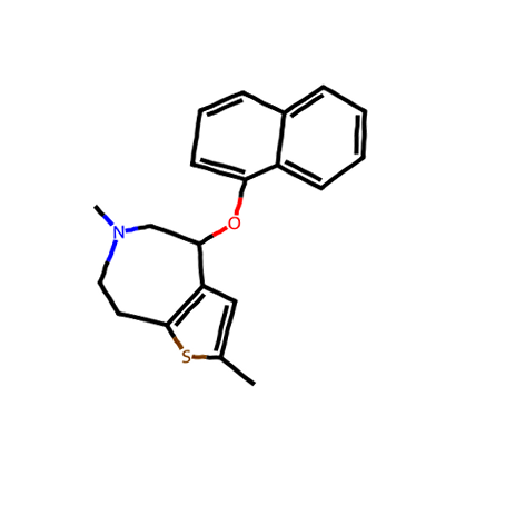 Cc1cc2c(s1)CCN(C)CC2Oc1cccc2ccccc12